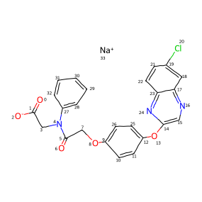 O=C([O-])CN(C(=O)COc1ccc(Oc2cnc3cc(Cl)ccc3n2)cc1)c1ccccc1.[Na+]